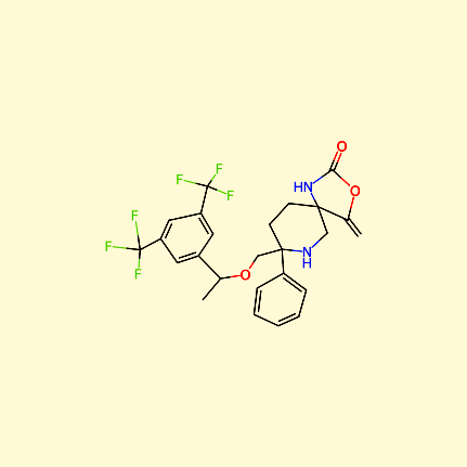 C=C1OC(=O)NC12CCC(COC(C)c1cc(C(F)(F)F)cc(C(F)(F)F)c1)(c1ccccc1)NC2